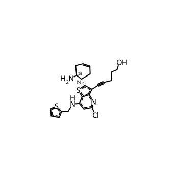 N[C@H]1CC=CC[C@@H]1c1sc2c(NCc3cccs3)cc(Cl)nc2c1C#CCCCO